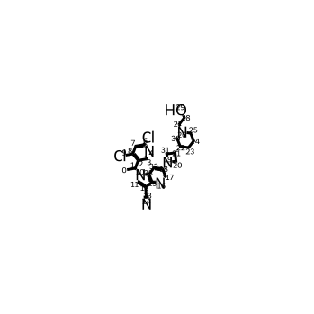 CC(c1cnc(Cl)cc1Cl)n1cc(C#N)c2ncc(N3CC([C@H]4CCCN(CCO)C4)C3)cc21